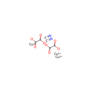 O=C([O-])C(=O)[O-].O=C([O-])C(=O)[O-].[C-]#N.[C-]#N.[Cu+2].[Cu+2].[Cu+2]